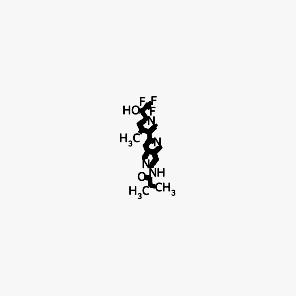 Cc1cc([C@H](O)C(F)(F)F)ncc1-c1cc2cnc(NC(=O)C(C)C)cc2cn1